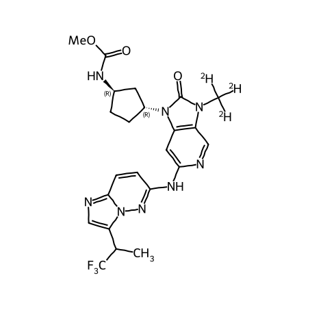 [2H]C([2H])([2H])n1c(=O)n([C@@H]2CC[C@@H](NC(=O)OC)C2)c2cc(Nc3ccc4ncc(C(C)C(F)(F)F)n4n3)ncc21